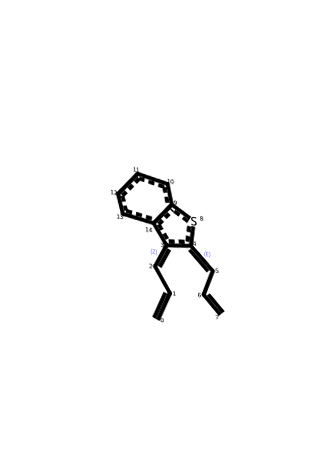 C=C/C=c1\c(=C/C=C)sc2ccccc12